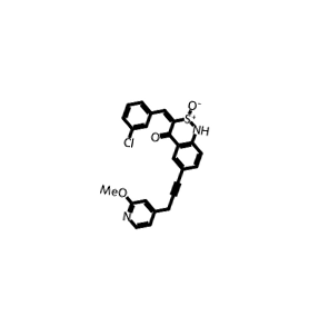 COc1cc(CC#Cc2ccc3c(c2)C(=O)/C(=C\c2cccc(Cl)c2)[S+]([O-])N3)ccn1